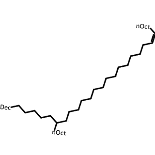 CCCCCCCC/C=C\CCCCCCCCCCCCC[CH]C(CCCCCCCC)CCCCCCCCCCCCCCC